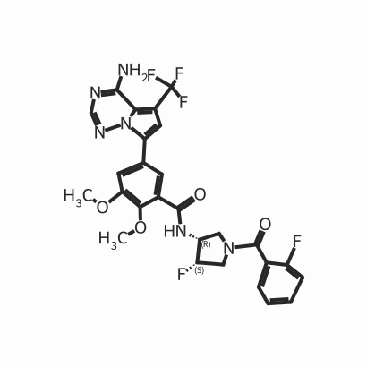 COc1cc(-c2cc(C(F)(F)F)c3c(N)ncnn23)cc(C(=O)N[C@@H]2CN(C(=O)c3ccccc3F)C[C@@H]2F)c1OC